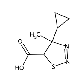 CC1(C2CC2)N=NSC1C(=O)O